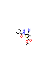 CCC(CC)C(=O)Nc1sc(C(=O)OC(C)C)c(C)c1C#N